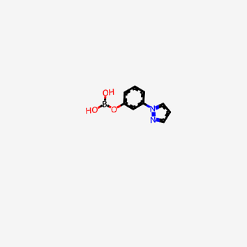 OB(O)Oc1cccc(-n2cccn2)c1